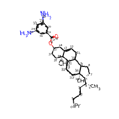 CC(C)CCC[C@@H](C)[C@H]1CCC2C3CC=C4CC(OC(=O)c5cc(N)cc(N)c5)CC[C@]4(C)C3CC[C@@]21C